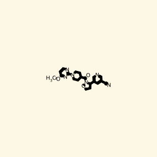 COc1ccnc(N2CCC(C(=O)N3OCCC3c3cncc(C#N)c3)CC2)n1